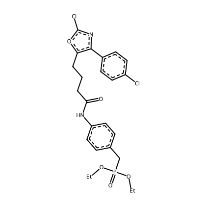 CCOP(=O)(Cc1ccc(NC(=O)CCCc2oc(Cl)nc2-c2ccc(Cl)cc2)cc1)OCC